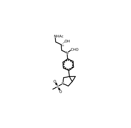 CC(=O)NC[C@H](O)CN(C=O)c1ccc(C23CC2CN(S(C)(=O)=O)C3)cc1